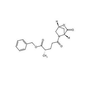 C[C@@H](CCC(=O)N1C[C@H]2C[C@@H]1C(=O)O2)C(=O)OCc1ccccc1